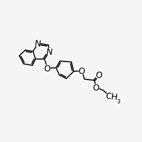 CCOC(=O)COc1ccc(Oc2ncnc3ccccc23)cc1